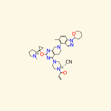 C=CC(=O)N1CCN(c2nc(OC3([C@@H]4CCCN4C)CC3)nc3c2CCN(c2c(C)ccc4c2cnn4C2CCCCO2)C3)C[C@@H]1CC#N